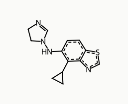 C1=NCCN1Nc1ccc2scnc2c1C1CC1